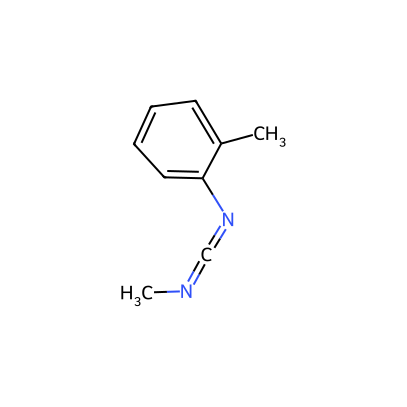 CN=C=Nc1ccccc1C